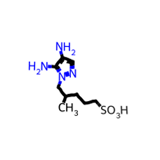 CC(CCCS(=O)(=O)O)Cn1ncc(N)c1N